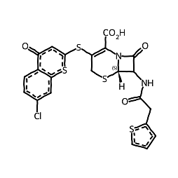 O=C(Cc1cccs1)NC1C(=O)N2C(C(=O)O)=C(Sc3cc(=O)c4ccc(Cl)cc4s3)CS[C@@H]12